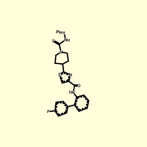 CCCC(C)NC(=S)N1CCC(c2nc(C(=O)Nc3ccccc3-c3ccc(F)cc3)cs2)CC1